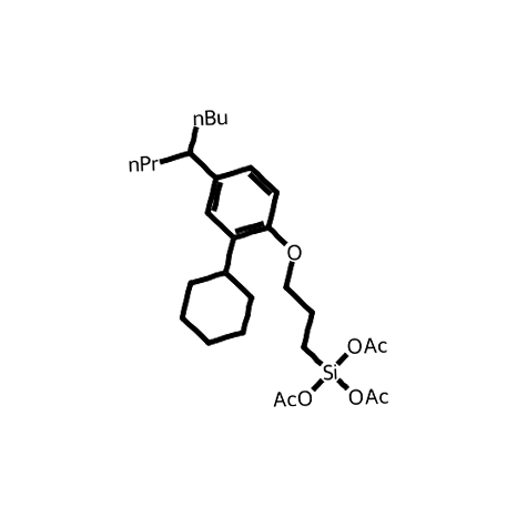 CCCCC(CCC)c1ccc(OCCC[Si](OC(C)=O)(OC(C)=O)OC(C)=O)c(C2CCCCC2)c1